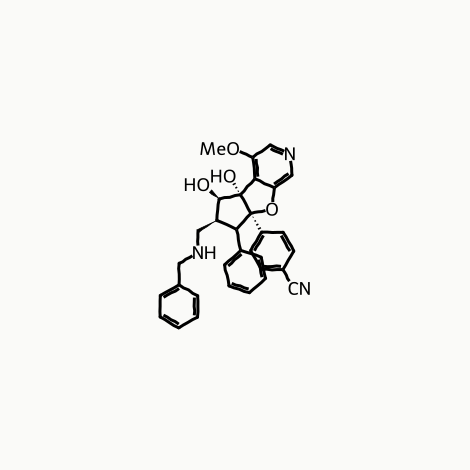 COc1cncc2c1[C@]1(O)[C@H](O)[C@H](CNCc3ccccc3)C(c3ccccc3)[C@]1(c1ccc(C#N)cc1)O2